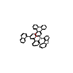 c1cc(-c2ccccc2N(c2ccc3c4ccccc4c4ccccc4c3c2)c2cccc3sc4ccccc4c23)cc(-c2cccc3ccccc23)c1